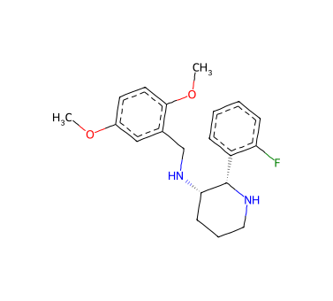 COc1ccc(OC)c(CN[C@H]2CCCN[C@H]2c2ccccc2F)c1